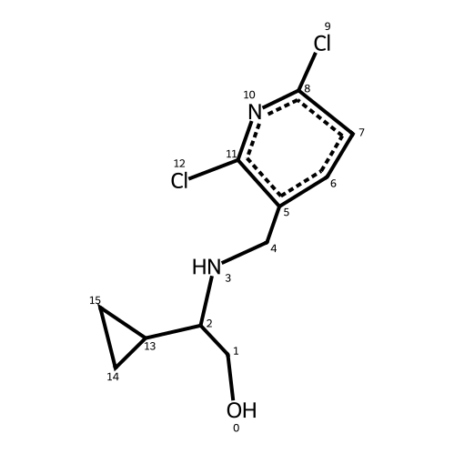 OCC(NCc1ccc(Cl)nc1Cl)C1CC1